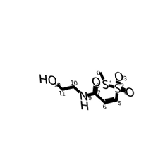 CSS(=O)(=O)/C=C\C(=O)NCCO